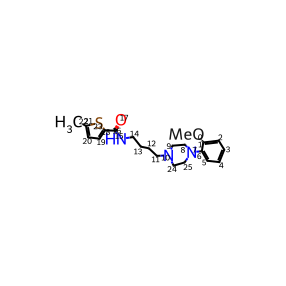 COc1ccccc1N1CCN(CCCCNC(=O)c2ccc(C)s2)CC1